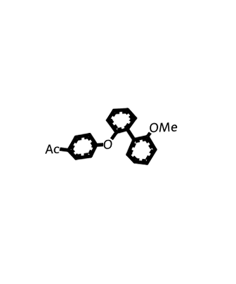 COc1ccccc1-c1ccccc1Oc1ccc(C(C)=O)cc1